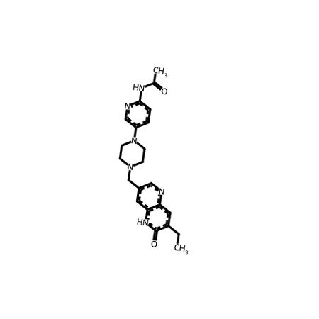 CCc1cc2ncc(CN3CCN(c4ccc(NC(C)=O)nc4)CC3)cc2[nH]c1=O